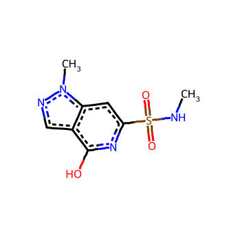 CNS(=O)(=O)c1cc2c(cnn2C)c(O)n1